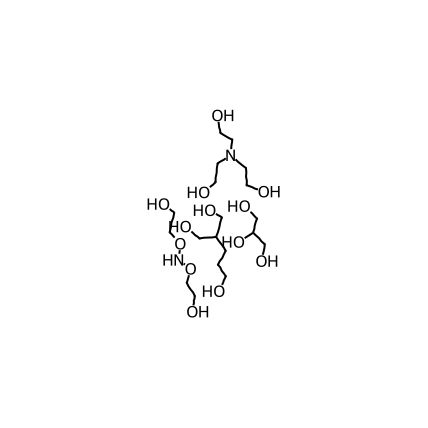 OCC(O)CO.OCCCC(CO)CO.OCCN(CCO)CCO.OCCONOCCO